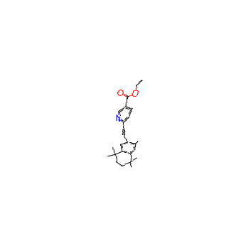 CCOC(=O)c1ccc(C#Cc2cc3c(cc2C)C(C)(C)CCC3(C)C)nc1